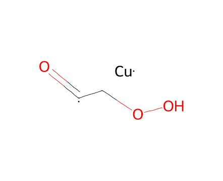 O=[C]COO.[Cu]